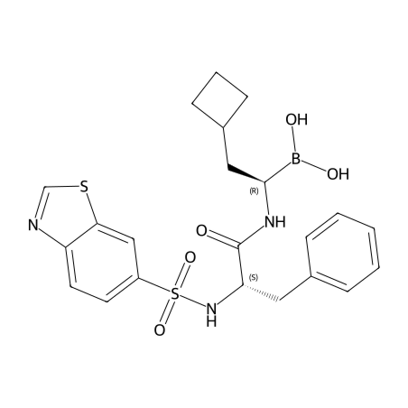 O=C(N[C@@H](CC1CCC1)B(O)O)[C@H](Cc1ccccc1)NS(=O)(=O)c1ccc2ncsc2c1